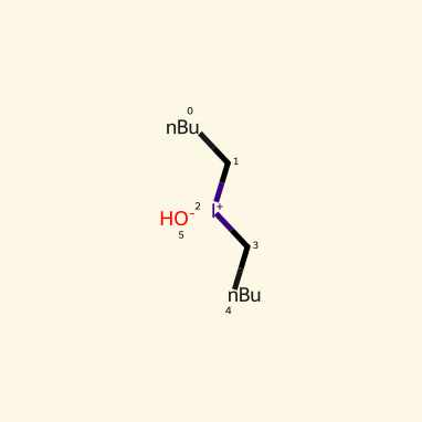 CCCCC[I+]CCCCC.[OH-]